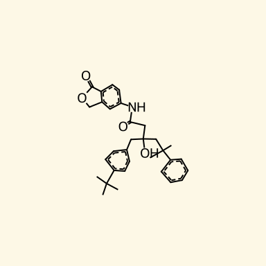 CC(C)(C)c1ccc(CC(O)(CC(=O)Nc2ccc3c(c2)COC3=O)CC(C)(C)c2ccccc2)cc1